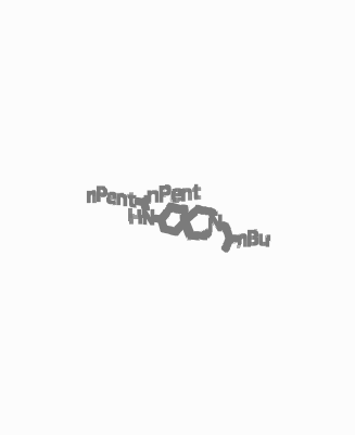 CCCCCC(CCCCC)NC1CCC2(CC1)CCN(CC(C)CCCC)CC2